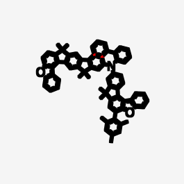 Cc1cc(C)c(-c2cc3c(c4c2oc2ccccc24)-c2ccc(N(c4ccc5c(c4)C(C)(C)c4cc6c(cc4-5)C(C)(C)c4ccc5oc7ccccc7c5c4-6)c4ccccc4-c4ccccc4)cc2C3(C)C)c(C)c1